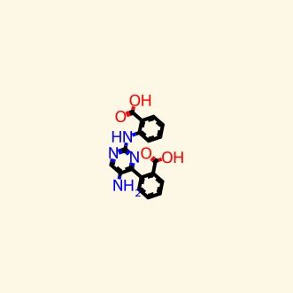 Nc1cnc(Nc2ccccc2C(=O)O)nc1-c1ccccc1C(=O)O